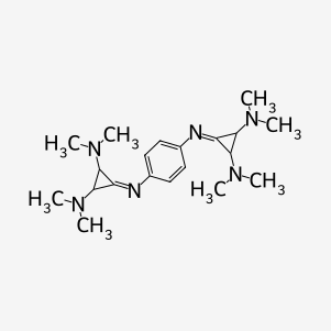 CN(C)C1C(=Nc2ccc(N=C3C(N(C)C)C3N(C)C)cc2)C1N(C)C